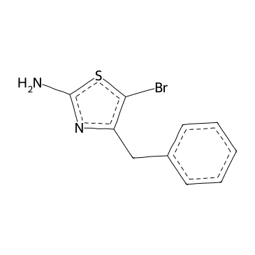 Nc1nc(Cc2ccccc2)c(Br)s1